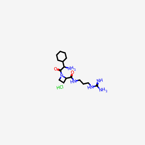 Cl.N=C(N)NCCCNC(=O)C1CCN1C(=O)C(N)C1CCCCC1